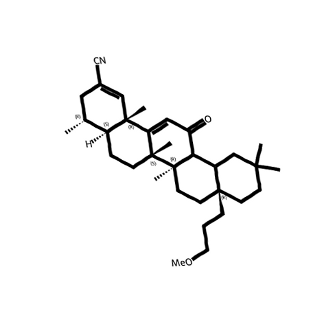 COCCC[C@]12CCC(C)(C)CC1C1C(=O)C=C3[C@@]4(C)C=C(C#N)C[C@@H](C)[C@@H]4CC[C@@]3(C)[C@]1(C)CC2